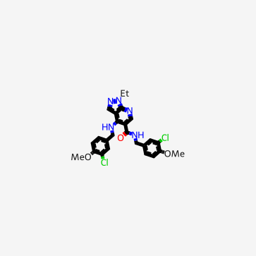 CCn1ncc2c(NCc3ccc(OC)c(Cl)c3)c(C(=O)NCc3ccc(OC)c(Cl)c3)cnc21